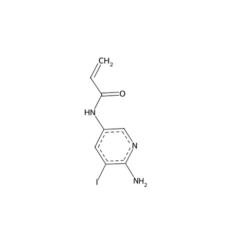 C=CC(=O)Nc1cnc(N)c(I)c1